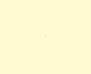 CCC[N+](CCC)(CCC)CCC.[Br-].[K+].[OH-]